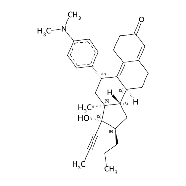 CC#C[C@]1(O)[C@H](CCC)C[C@H]2[C@@H]3CCC4=CC(=O)CCC4=C3[C@@H](c3ccc(N(C)C)cc3)C[C@@]21C